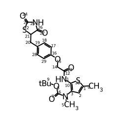 Cc1cc(N(C)C(=O)OC(C)(C)C)c(NC(=O)COc2ccc(CC3SC(=O)NC3=O)cc2)s1